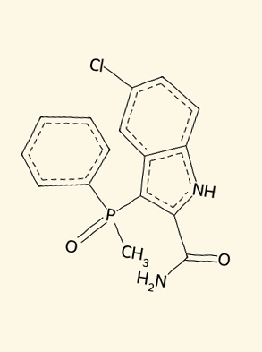 CP(=O)(c1ccccc1)c1c(C(N)=O)[nH]c2ccc(Cl)cc12